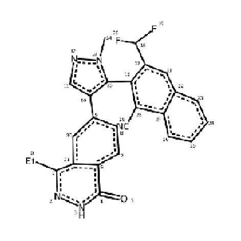 CCc1n[nH]c(=O)c2ccc(-c3cnn(C)c3-c3c(C(F)F)cc4ccccc4c3C#N)cc12